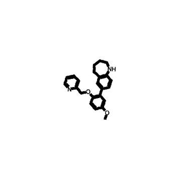 COc1ccc(OCc2ccccn2)c(-c2ccc3c(c2)CCCCN3)c1